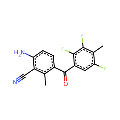 Cc1c(F)cc(C(=O)c2ccc(N)c(C#N)c2C)c(F)c1F